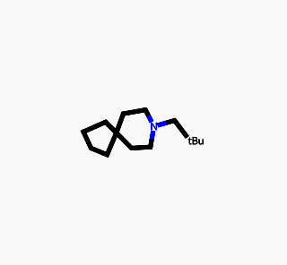 CC(C)(C)CN1CCC2(CCCC2)CC1